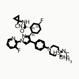 CN=[SH]1(O)CCN(c2ccc(-c3cn(-c4ncccc4F)nc3[C@@H]3CC[C@H](F)C[C@H]3C(=O)NC3(C#N)CC3)cc2)CC1